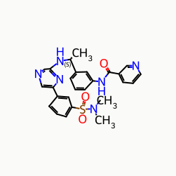 C[C@H](Nc1cncc(-c2cccc(S(=O)(=O)N(C)C)c2)n1)c1cccc(NC(=O)c2cccnc2)c1